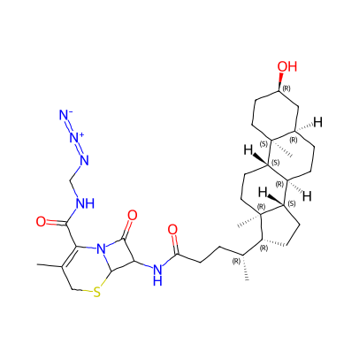 CC1=C(C(=O)NCN=[N+]=[N-])N2C(=O)C(NC(=O)CC[C@@H](C)[C@H]3CC[C@H]4[C@@H]5CC[C@@H]6C[C@H](O)CC[C@]6(C)[C@H]5CC[C@]34C)C2SC1